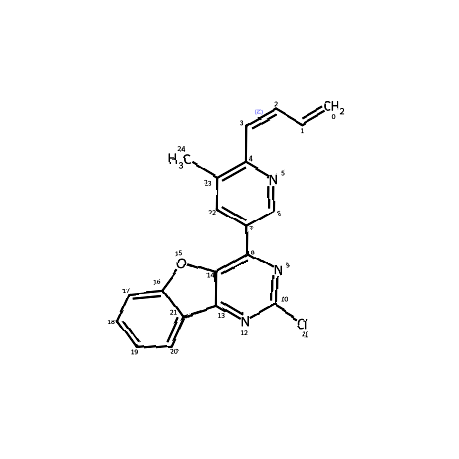 C=C/C=C\c1ncc(-c2nc(Cl)nc3c2oc2ccccc23)cc1C